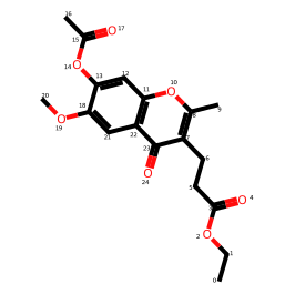 CCOC(=O)CCc1c(C)oc2cc(OC(C)=O)c(OC)cc2c1=O